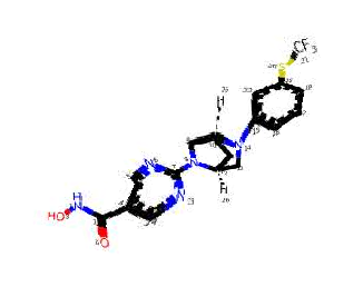 O=C(NO)c1cnc(N2C[C@@H]3C[C@H]2CN3c2cccc(SC(F)(F)F)c2)nc1